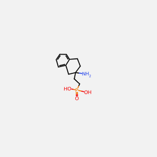 NC1(CCP(=O)(O)O)CCc2ccccc2C1